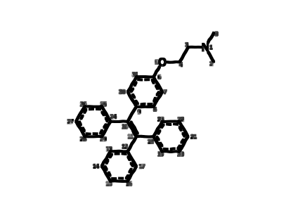 CN(C)CCOc1ccc(C(=C(c2ccccc2)c2ccccc2)c2ccccc2)cc1